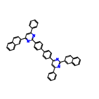 c1ccc(-c2cc(-c3ccc4ccccc4c3)nc(-c3ccc(-c4ccc(-c5cc(-c6ccccc6)nc(-c6ccc7ccccc7c6)n5)cc4)cc3)n2)cc1